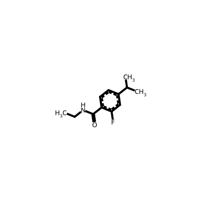 CCNC(=O)c1ccc(C(C)C)cc1F